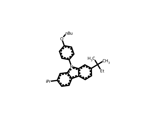 CCCCOc1ccc(-n2c3cc(C(C)C)ccc3c3ccc(C(C)(C)CC)cc32)cc1